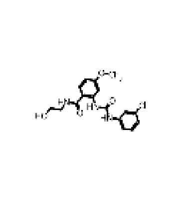 O=C(Nc1cccc(Cl)c1)Nc1cc(OC(F)(F)F)ccc1C(=O)NCCO